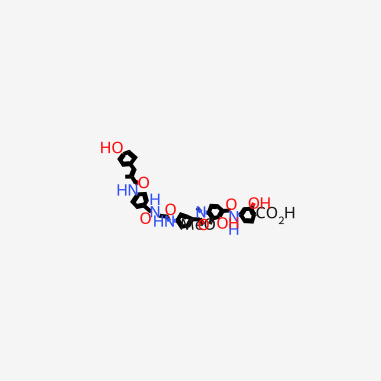 COc1c(N(C)C(=O)c2ccc(NC(=O)CNC(=O)c3ccc(NC(=O)/C(C)=C/c4ccc(O)cc4)cc3)cc2)ccc(C(=O)Nc2ccc(C(=O)O)c(O)c2)c1O